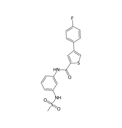 CS(=O)(=O)Nc1cccc(NC(=O)c2cc(-c3ccc(F)cc3)cs2)c1